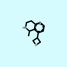 CC1NCCc2nccc(C3COC3)c21